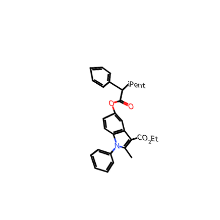 CCCC(C)C(C(=O)Oc1ccc2c(c1)c(C(=O)OCC)c(C)n2-c1ccccc1)c1ccccc1